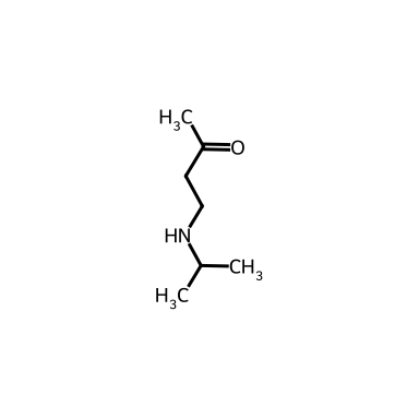 CC(=O)CCNC(C)C